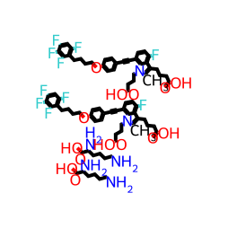 Cc1c(CCCC(=O)O)c2c(F)ccc(C#Cc3ccc(OCCCCc4c(F)cc(F)c(F)c4F)cc3)c2n1CCCC(=O)O.Cc1c(CCCC(=O)O)c2c(F)ccc(C#Cc3ccc(OCCCCc4c(F)cc(F)c(F)c4F)cc3)c2n1CCCC(=O)O.NCCCCC(N)C(=O)O.NCCCCC(N)C(=O)O